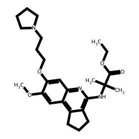 CCOC(=O)C(C)(C)Nc1nc2cc(OCCCN3CCCC3)c(OC)cc2c2c1CCC2